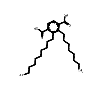 CCCCCCCCCCc1c(C(=O)O)ccc(C(=O)O)c1CCCCCCCC